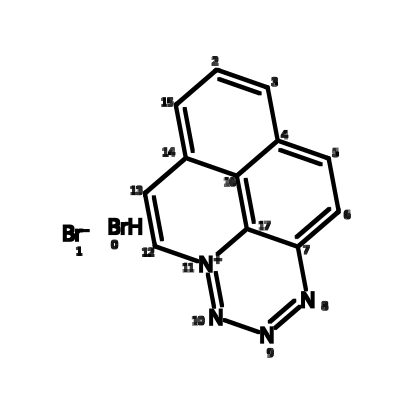 Br.[Br-].c1cc2ccc3nnn[n+]4ccc(c1)c2c34